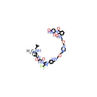 C=N/C(=C\C(=C/C)c1nc(C(=O)Nc2cn(-c3ccc(CNCCOCCN4CCN(CCOCCNc5cccc6c5C(=O)N(C5CCC(=O)NC5=O)C6=O)CC4)cc3)nc2C(F)F)co1)NCC1CC1